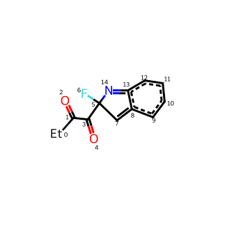 CCC(=O)C(=O)C1(F)C=c2ccccc2=N1